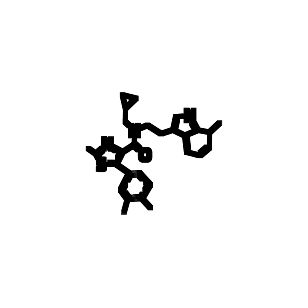 Cc1nc(C(=O)N(CCC2=CN=C3C2=CC=CC3C)CC2CC2)c(-c2ccc(C)c(C)c2)s1